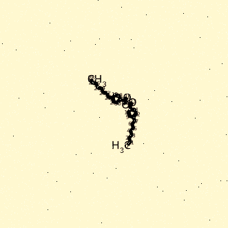 CCCCCCCCc1ccc(C(=O)OC(=O)c2ccc(CCCCCCCC)cc2)cc1